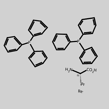 CC(C)[C@H](N)C(=O)O.[Re].c1ccc(P(c2ccccc2)c2ccccc2)cc1.c1ccc(P(c2ccccc2)c2ccccc2)cc1